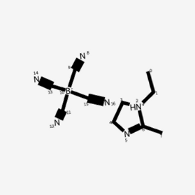 CC[NH+]1CCN=C1C.N#C[B-](C#N)(C#N)C#N